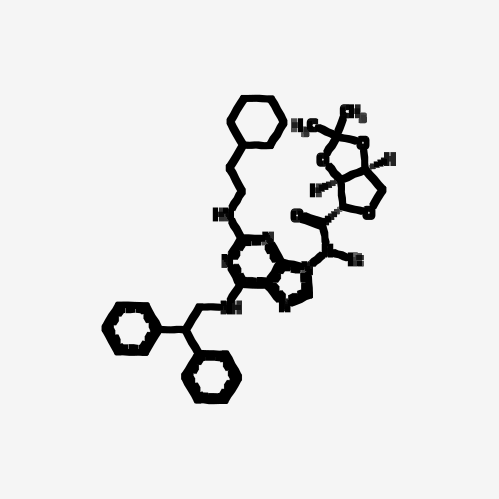 CCN(C(=O)[C@H]1OC[C@@H]2OC(C)(C)O[C@@H]21)n1cnc2c(NCC(c3ccccc3)c3ccccc3)nc(NCCC3CCCCC3)nc21